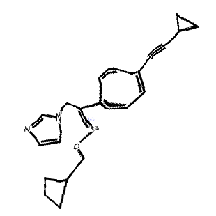 C(#CC1CC1)c1ccc(/C(Cn2ccnc2)=N/OCC2CCC2)cc1